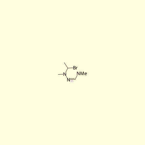 CN/C=N\N(C)C(C)Br